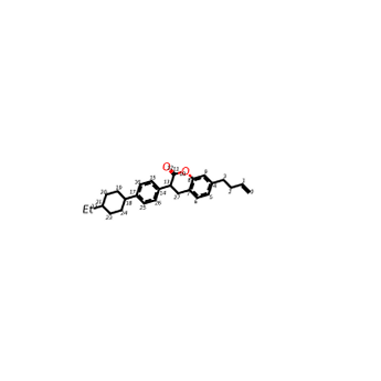 C=CCCc1ccc2c(c1)OC(=O)C(c1ccc(C3CCC(CC)CC3)cc1)C2